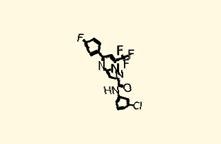 O=C(Nc1cccc(Cl)c1)c1cc2nc(-c3ccc(F)cc3)cc(C(F)(F)F)n2n1